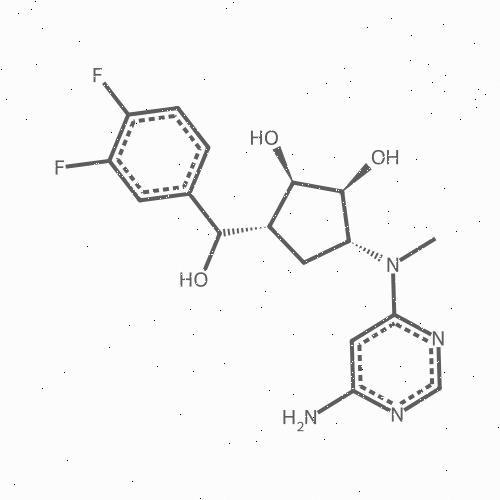 CN(c1cc(N)ncn1)[C@@H]1C[C@H](C(O)c2ccc(F)c(F)c2)[C@@H](O)[C@H]1O